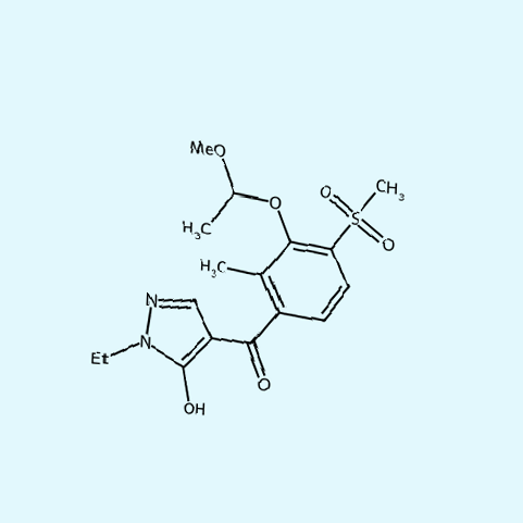 CCn1ncc(C(=O)c2ccc(S(C)(=O)=O)c(OC(C)OC)c2C)c1O